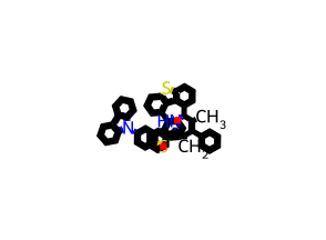 C=C1C(c2ccccc2)=C(C)C(c2cccc3sc4cccc(-c5cccc6sc7ccc(-n8c9ccccc9c9ccccc98)cc7c56)c4c23)NC1c1ccccc1